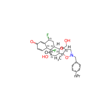 CCCc1ccc(CN2C[C@@H]3CC4[C@@H]5C[C@H](F)C6=CC(=O)C=C[C@]6(C)[C@@]5(F)[C@@H](O)C[C@]4(C)[C@]3(C(=O)CO)O2)cc1